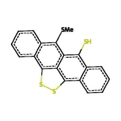 CSc1c2ccccc2c2c3c(c4ccccc4c(S)c13)SS2